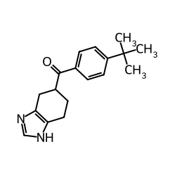 CC(C)(C)c1ccc(C(=O)C2CCc3[nH]cnc3C2)cc1